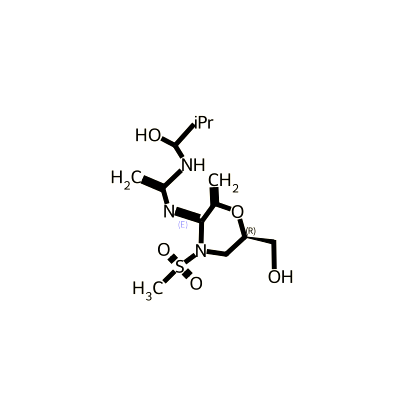 C=C(/N=C1\C(=C)O[C@@H](CO)CN1S(C)(=O)=O)NC(O)C(C)C